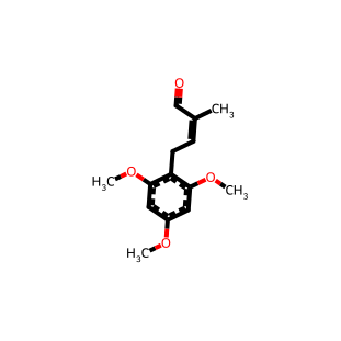 COc1cc(OC)c(C/C=C(/C)C=O)c(OC)c1